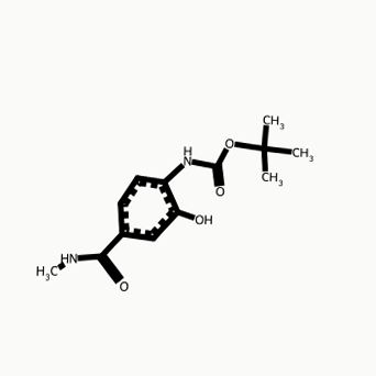 CNC(=O)c1ccc(NC(=O)OC(C)(C)C)c(O)c1